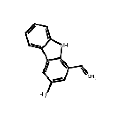 C=Cc1cc(C)cc2c1[nH]c1ccccc12